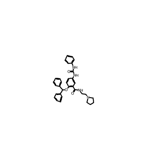 O=C(Nc1ccccc1)Nc1ccc(OC(c2ccccc2)c2ccccc2)c(C(=O)NCCN2CCCC2)c1